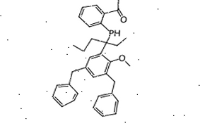 CCCC(CC)(Pc1ccccc1C(C)=O)c1cc(Cc2ccccc2)cc(Cc2ccccc2)c1OC